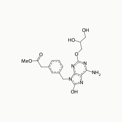 COC(=O)Cc1cccc(Cn2c(O)nc3c(N)nc(OCC(O)CO)nc32)c1